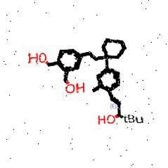 Cc1cc(C2(CCc3ccc(CO)c(CO)c3)CCCCC2)ccc1/C=C/C(O)C(C)(C)C